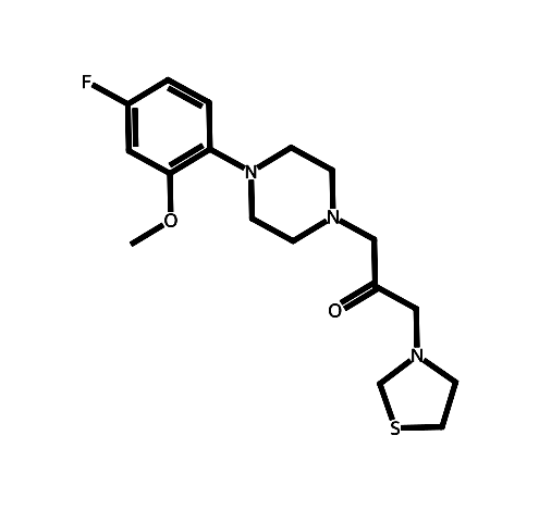 COc1cc(F)ccc1N1CCN(CC(=O)CN2CCSC2)CC1